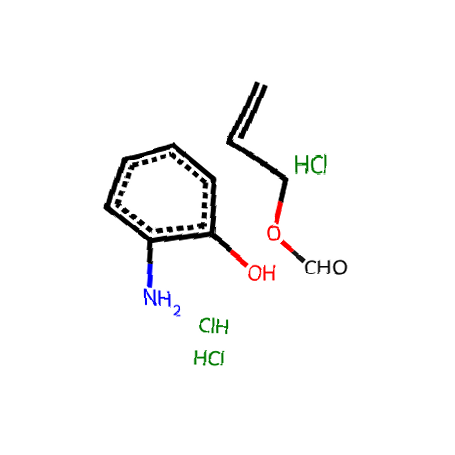 C=CCOC=O.Cl.Cl.Cl.Nc1ccccc1O